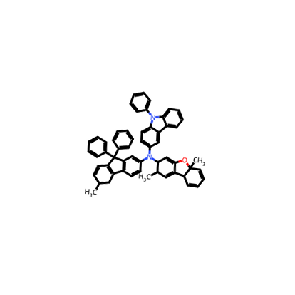 CC1C=CC2=C(C1)c1ccc(N(c3ccc4c(c3)c3ccccc3n4-c3ccccc3)C3C=C4OC5(C)C=CC=CC5C4=CC3C)cc1C2(c1ccccc1)c1ccccc1